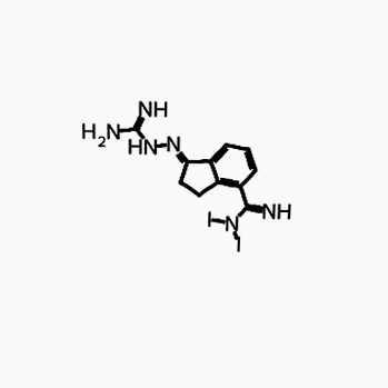 N=C(N)N/N=C1\CCc2c(C(=N)N(I)I)cccc21